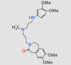 COc1ccc(NCCCN(C)CCCN2CCc3cc(OC)c(OC)cc3CC2=O)cc1OC